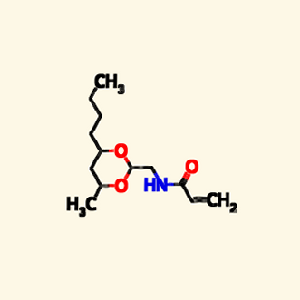 C=CC(=O)NCC1OC(C)CC(CCCC)O1